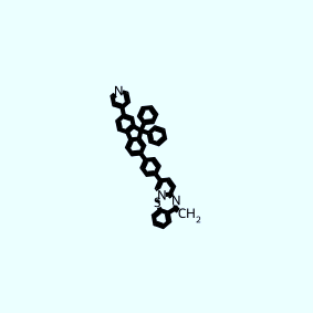 C=C1N=C2C=CC(c3ccc(-c4ccc5c(c4)C(c4ccccc4)(c4ccccc4)c4cc(-c6ccncc6)ccc4-5)cc3)=CN2Sc2ccccc21